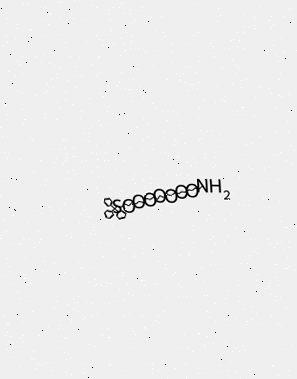 NCCOCCOCCOCCOCCOCCOCCOCCSC(c1ccccc1)(c1ccccc1)c1ccccc1